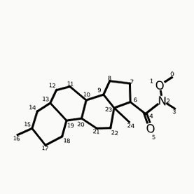 CON(C)C(=O)C1CCC2C3CCC4CC(C)CCC4C3CCC12C